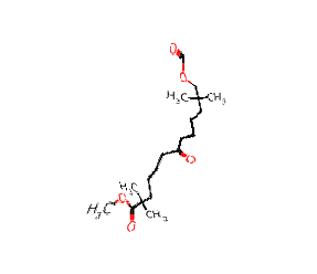 COC(=O)C(C)(C)CCCCC(=O)CCCCC(C)(C)COC=O